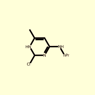 CCCNC1=NC(Cl)NC(C)=C1